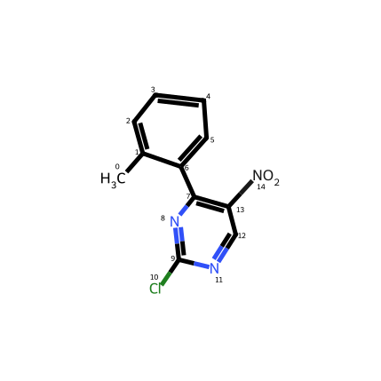 Cc1ccccc1-c1nc(Cl)ncc1[N+](=O)[O-]